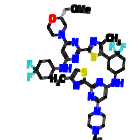 COC[C@@H]1CN(c2cc(NC3CCC(F)(F)CC3)nc(-c3nc(C)c(C4CC(Nc5cc(N6CCN(C(C)=O)CC6)nc(-c6nc(C)cs6)n5)CCC4(F)F)s3)n2)CCO1